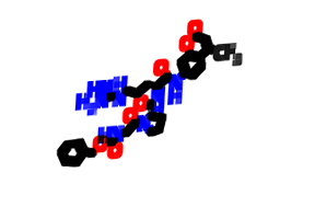 N=C(N)NCCC[C@H](NC(=O)[C@@H]1CCCN1C(=O)CNC(=O)OCc1ccccc1)C(=O)Nc1ccc2c(C(F)(F)F)cc(=O)oc2c1